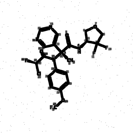 C[C@](C(=O)N[C@H]1COCC1(F)F)(c1cncnc1)N(C(=O)[C@H](F)Cl)c1ccc(OC(F)(F)F)cc1